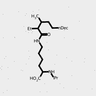 CCCCCCCCCCCCC(C)C(CC)C(=O)NCCCCC(NC(C)C)C(=O)O